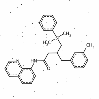 Cc1cccc(CC(CC(=O)Nc2cccc3cccnc23)C[Si](C)(C)c2ccccc2)c1